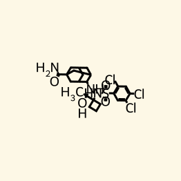 CC(O)(NC1C2CC3CC1CC(C(N)=O)(C3)C2)C1(NS(=O)(=O)c2cc(Cl)c(Cl)cc2Cl)CCC1